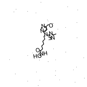 COCc1cc(N(CCCCCCC(=O)NO)c2nc(C)ns2)ncn1